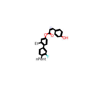 CCCCCc1ccc(-c2ccc(OC(=O)/C=C\c3ccc(O)cc3)cc2CC)cc1F